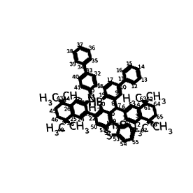 Cc1cc2c(cc1C1c3cc(-c4ccccc4)ccc3Bc3c(-c4cc5c(cc4Nc4ccc(-c6ccccc6)cc4)C(C)(C)CCC5(C)C)cc4sc5ccccc5c4c31)C(C)(C)CCC2(C)C